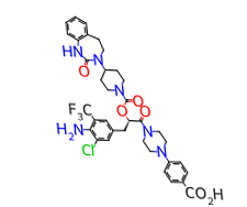 Nc1c(Cl)cc(C[C@@H](OC(=O)N2CCC(N3CCc4ccccc4NC3=O)CC2)C(=O)N2CCN(c3ccc(C(=O)O)cc3)CC2)cc1C(F)(F)F